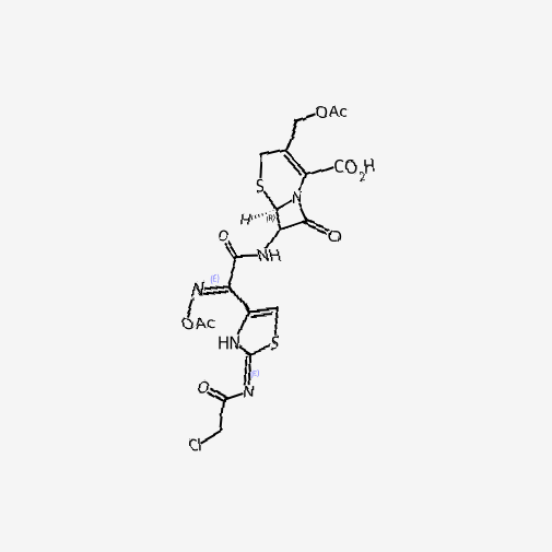 CC(=O)OCC1=C(C(=O)O)N2C(=O)C(NC(=O)/C(=N/OC(C)=O)c3cs/c(=N/C(=O)CCl)[nH]3)[C@H]2SC1